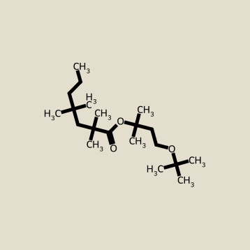 CCCC(C)(C)CC(C)(C)C(=O)OC(C)(C)CCOC(C)(C)C